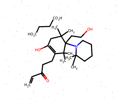 C=CC(=O)CCC1=C(O)CC(C)(C)C(CCO)(N2CCCCC2(C)C)C1(C)C.O=C(O)CCC(=O)O